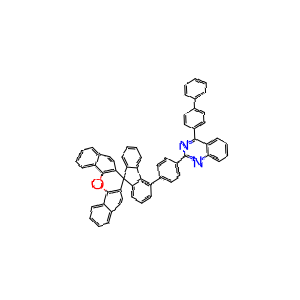 c1ccc(-c2ccc(-c3nc(-c4ccc(-c5cccc6c5-c5ccccc5C65c6ccc7ccccc7c6Oc6c5ccc5ccccc65)cc4)nc4ccccc34)cc2)cc1